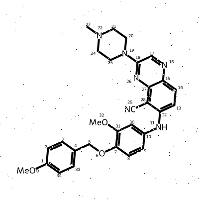 COc1ccc(COc2ccc(Nc3ccc4ncc(N5CCN(C)CC5)nc4c3C#N)cc2OC)cc1